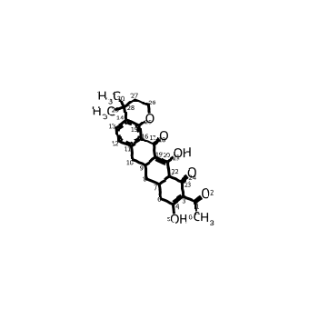 CC(=O)C1=C(O)CC2CC3Cc4ccc5c(c4C(=O)C3=C(O)C2C1=O)OCCC5(C)C